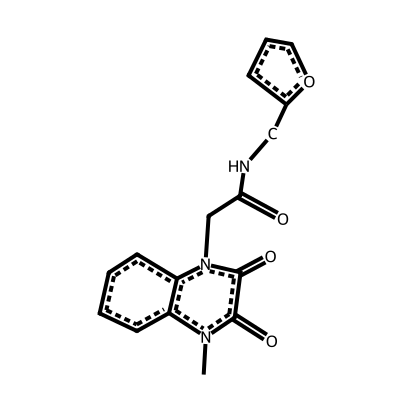 Cn1c(=O)c(=O)n(CC(=O)NCc2ccco2)c2ccccc21